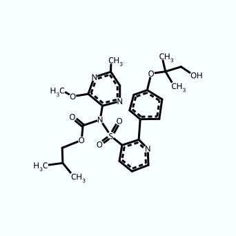 COc1nc(C)cnc1N(C(=O)OCC(C)C)S(=O)(=O)c1cccnc1-c1ccc(OC(C)(C)CO)cc1